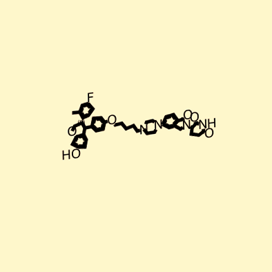 Cc1cc(F)ccc1[C@H]1COc2cc(O)ccc2C1c1ccc(OCCCCCN2CCN(c3ccc4c(c3)CN(C3CCC(=O)NC3=O)C4=O)CC2)cc1